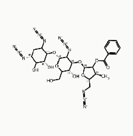 C[C@@H]1C(OC(=O)c2ccccc2)[C@H](O[C@@H]2C(N=[N+]=[N-])[C@@H](O[C@@H]3C(N=[N+]=[N-])C[C@@H](N=[N+]=[N-])C(O)[C@H]3O)OC(CO)[C@H]2O)O[C@@H]1CN=[N+]=[N-]